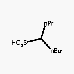 CCC[CH]C(CCC)S(=O)(=O)O